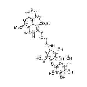 CCOC(=O)C1=C(COCCNC2O[C@H](CO)[C@@H](O[C@@H]3O[C@H](CO)[C@H](O)[C@H](O)[C@H]3O)[C@H](O)[C@H]2O)NC(C)=C(C(=O)OC)C1c1ccccc1Cl